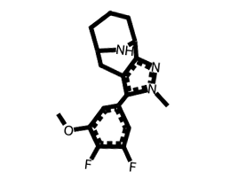 COc1cc(-c2c3c(nn2C)C2CCCC(C3)N2)cc(F)c1F